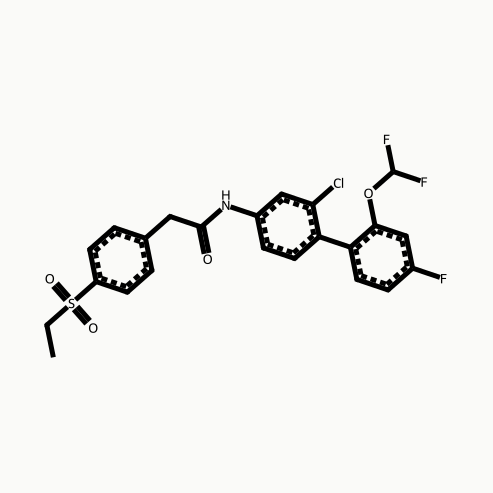 CCS(=O)(=O)c1ccc(CC(=O)Nc2ccc(-c3ccc(F)cc3OC(F)F)c(Cl)c2)cc1